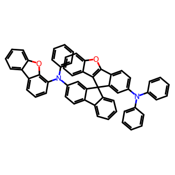 c1ccc(N(c2ccccc2)c2ccc3c(c2)C2(c4ccccc4-c4ccc(N(c5ccccc5)c5cccc6c5oc5ccccc56)cc42)c2c-3oc3ccccc23)cc1